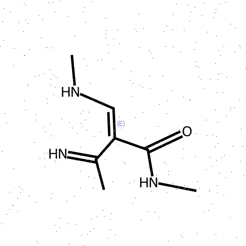 CN/C=C(\C(C)=N)C(=O)NC